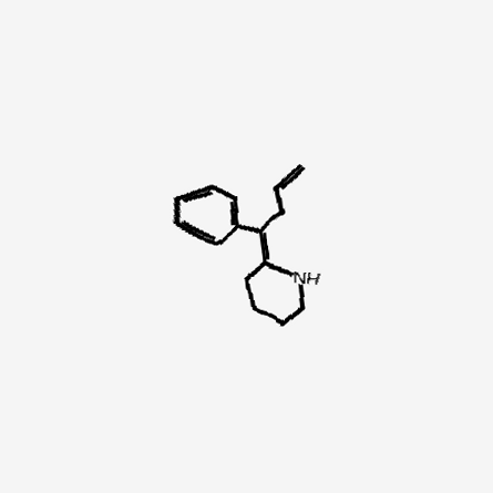 C=CC/C(=C1/CCCCN1)c1ccccc1